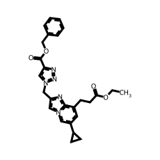 CCOC(=O)CCc1cc(C2CC2)cn2cc(Cn3cc(C(=O)OCc4ccccc4)nn3)nc12